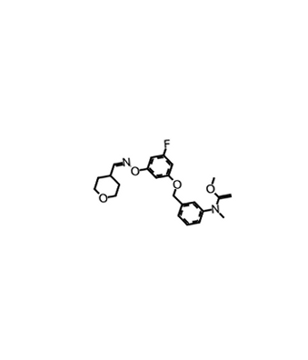 C=C(OC)N(C)c1cccc(COc2cc(F)cc(O/N=C\C3CCOCC3)c2)c1